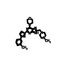 Cc1cccc(-c2ccn(-c3nc(N4CCOCC4)c4nc(CN5CCN(C)CC5)[nH]c4n3)n2)c1